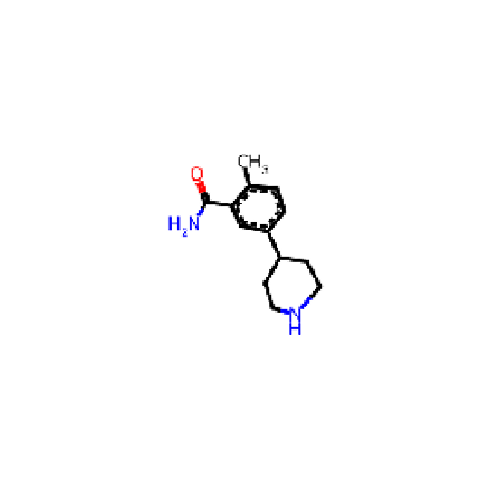 Cc1ccc(C2CCNCC2)cc1C(N)=O